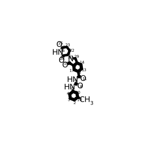 Cc1cccc(NC(=O)NC(=O)c2ccc3c(c2)C(=O)N(C2CCC(=O)NC2=O)C3)c1